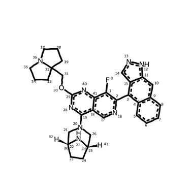 Fc1c(-c2c3ccccc3cc3[nH]ncc23)ncc2c(N3C[C@H]4CC[C@@H](C3)N4)nc(OCC34CCCN3CCC4)nc12